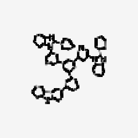 c1ccc(-c2nc3ccccc3n2-c2cncc(-c3cc(-c4cccc(-c5ccc6sc7ccccc7c6c5)c4)cc(-c4cncc(-n5c(-c6ccccc6)nc6ccccc65)c4)c3)c2)cc1